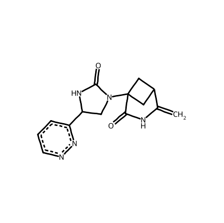 C=C1NC(=O)C2(N3CC(c4cccnn4)NC3=O)CC1C2